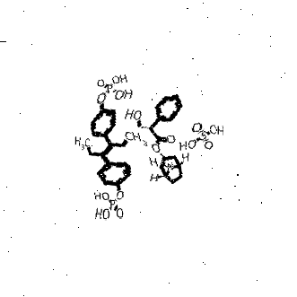 CC/C(=C(/CC)c1ccc(OP(=O)(O)O)cc1)c1ccc(OP(=O)(O)O)cc1.CN1[C@@H]2CC[C@H]1C[C@@H](OC(=O)[C@H](CO)c1ccccc1)C2.O=S(=O)(O)O